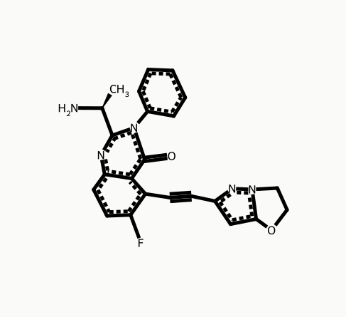 C[C@H](N)c1nc2ccc(F)c(C#Cc3cc4n(n3)CCO4)c2c(=O)n1-c1ccccc1